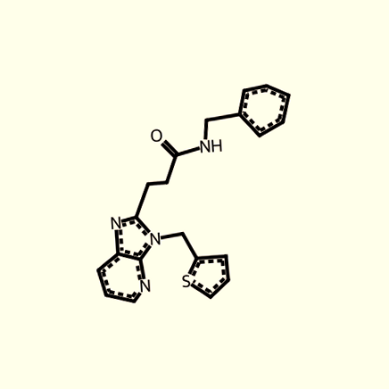 O=C(CCc1nc2cccnc2n1Cc1cccs1)NCc1ccccc1